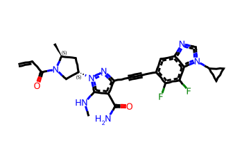 C=CC(=O)N1C[C@@H](n2nc(C#Cc3cc4ncn(C5CC5)c4c(F)c3F)c(C(N)=O)c2NC)C[C@@H]1C